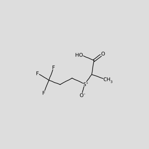 CC(C(=O)O)[S+]([O-])CCC(F)(F)F